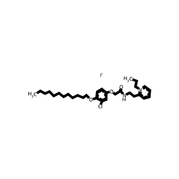 CCCCCCCCCCCCOc1ccc(OCC(=O)NCCc2cccc[n+]2CCC)cc1Cl.[I-]